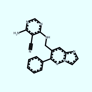 N#Cc1c(N)ncnc1NCc1cc2nccn2nc1-c1ccccc1